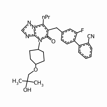 CCCc1c(Cc2ccc(-c3ccccc3C#N)c(F)c2)c(=O)n(C2CCC(OCC(C)(C)O)CC2)c2ncnn12